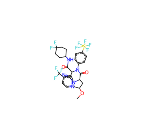 CO[C@@H]1C[C@H](C(=O)N(c2ccc(S(F)(F)(F)(F)F)cc2)C(C(=O)NC2CCC(F)(F)CC2)c2cnccc2C(F)(F)F)N(C#N)C1